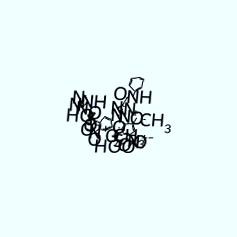 COc1cc([N+](=O)[O-])c(S(=O)(=O)O)cc1-n1nc(C(=O)Nc2ccccc2)n[n+]1-c1cc(S(=O)(=O)O)c([N+](=O)[O-])cc1OC.c1nnn[nH]1